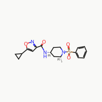 C[C@@H]1C[C@H](NC(=O)c2cc(C3CC3)on2)CCN1S(=O)(=O)c1ccccc1